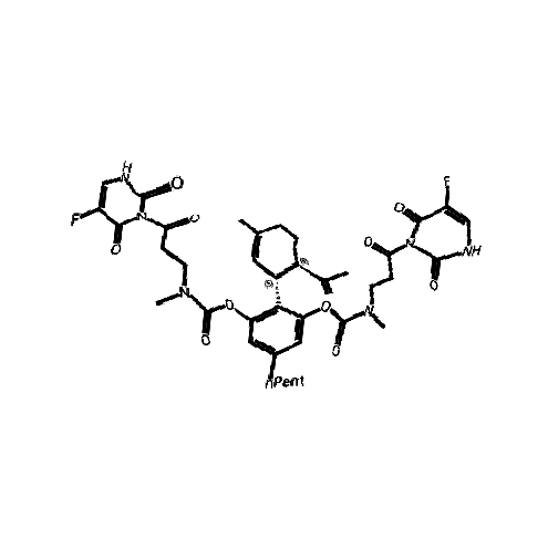 C=C(C)[C@@H]1CCC(C)=C[C@H]1c1c(OC(=O)N(C)CCC(=O)n2c(=O)[nH]cc(F)c2=O)cc(CCCCC)cc1OC(=O)N(C)CCC(=O)n1c(=O)[nH]cc(F)c1=O